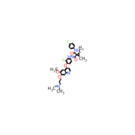 CCN(CC)CCCOc1cc2nccc(Oc3ccc(NC(=O)C4(C(=O)Nc5ccc(F)cc5)C(C)[C@H]4C)cc3F)c2cc1OC